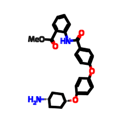 COC(=O)c1ccccc1NC(=O)c1ccc(Oc2ccc(O[C@H]3CC[C@@H](N)CC3)cc2)cc1